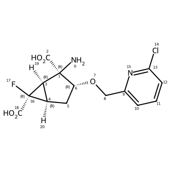 N[C@]1(C(=O)O)[C@H]2[C@@H](C[C@H]1OCc1cccc(Cl)n1)[C@]2(F)C(=O)O